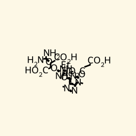 CC(C)=O.CCNC(N)=O.Cn1c(=O)c2c(ncn2C)n(C)c1=O.NC(N)=O.O=C(O)CCC(=O)O.O=C(O)CCCC(=O)O